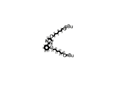 CCCCOCCCCCCOc1cnc(-c2ccccc2OCCCCCCOCCCC)nc1